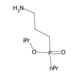 CCCP(=O)(CCCN)OC(C)C